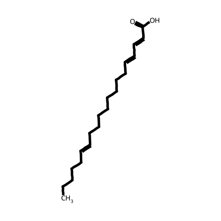 CCCCCC=CCCCCCCCCC=CC=CC(=O)O